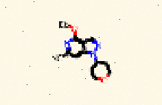 CCOc1nc(C#N)cc2c1cnn2C1CCOCC1